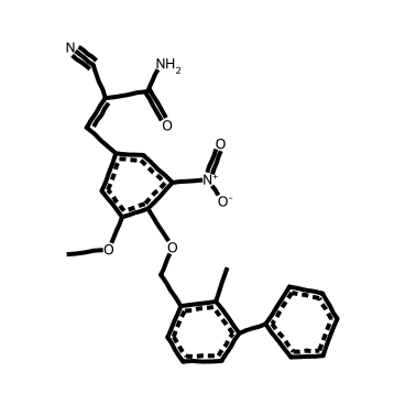 COc1cc(C=C(C#N)C(N)=O)cc([N+](=O)[O-])c1OCc1cccc(-c2ccccc2)c1C